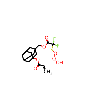 C=CC(=O)OC12CC3CC(CC(COC(=O)C(F)(F)SOOO)(C3)C1)C2